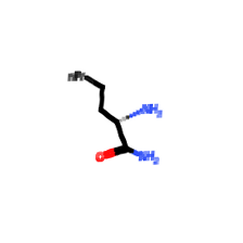 CCCCC[C@H](N)C(N)=O